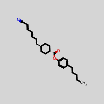 CCCCCc1ccc(OC(=O)[C@H]2CC[C@H](CCC=CC=CC#N)CC2)cc1